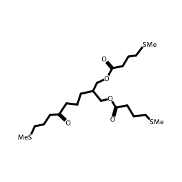 CSCCCC(=O)CCCC(COC(=O)CCCSC)COC(=O)CCCSC